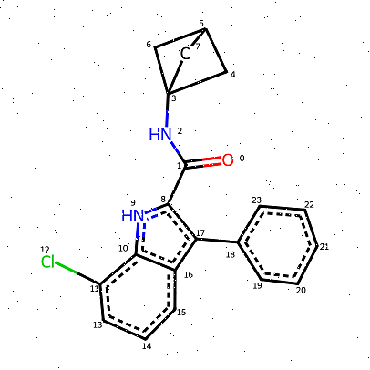 O=C(NC12CC(C1)C2)c1[nH]c2c(Cl)cccc2c1-c1ccccc1